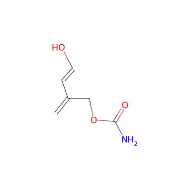 C=C(/C=C/O)COC(N)=O